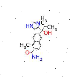 Cc1c(C(N)=O)ccc2cc(C(O)(c3c[nH]cn3)C(C)C)ccc12